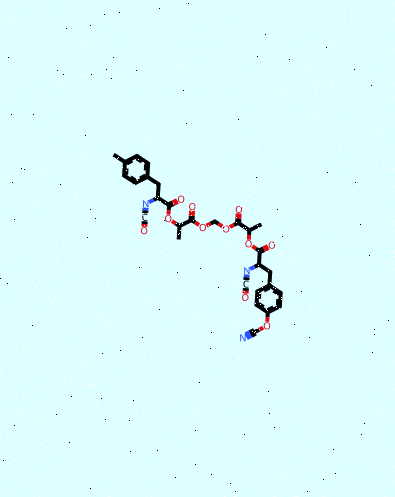 Cc1ccc(CC(N=C=O)C(=O)OC(C)C(=O)OCOC(=O)C(C)OC(=O)C(Cc2ccc(OC#N)cc2)N=C=O)cc1